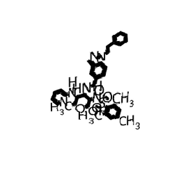 CCC(Nc1ccccn1)C(NC(=O)c1ccc2c(cnn2CCc2ccccc2)c1)C(NS(=O)(=O)c1c(C)cc(C)cc1C)C(=O)O